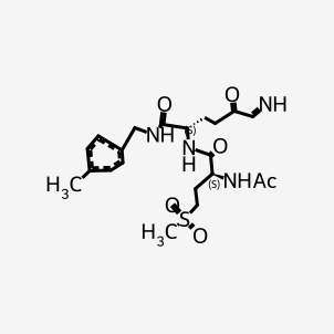 CC(=O)N[C@@H](CCS(C)(=O)=O)C(=O)N[C@@H](CCC(=O)C=N)C(=O)NCc1ccc(C)cc1